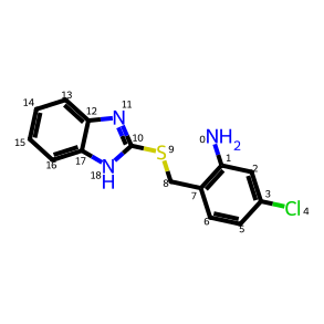 Nc1cc(Cl)ccc1CSc1nc2ccccc2[nH]1